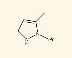 CC1=CCNN1C(C)C